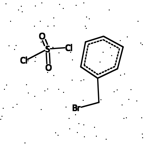 BrCc1ccccc1.O=S(=O)(Cl)Cl